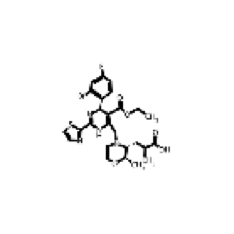 CCOC(=O)C1=C(CN2CCO[C@H](C)[C@H]2CC(C)C(=O)O)NC(c2nccs2)=N[C@H]1c1ccc(F)cc1Br